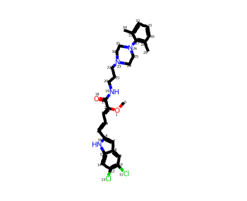 COC(=CC=Cc1cc2cc(Cl)c(Cl)cc2[nH]1)C(=O)NCCCN1CCN(c2c(C)cccc2C)CC1